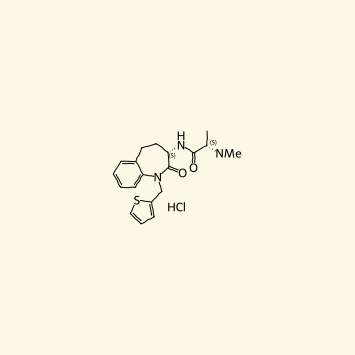 CN[C@@H](C)C(=O)N[C@H]1CCc2ccccc2N(Cc2cccs2)C1=O.Cl